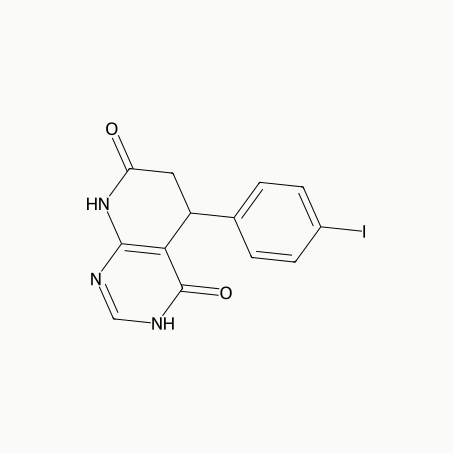 O=C1CC(c2ccc(I)cc2)c2c(nc[nH]c2=O)N1